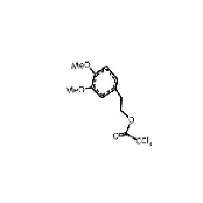 COc1ccc(CCOC(=O)C(Cl)(Cl)Cl)cc1OC